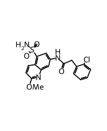 COc1ccc2c(S(N)(=O)=O)cc(NC(=O)Cc3ccccc3Cl)cc2n1